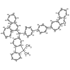 CC1(C)c2ccccc2-c2ccc(N(c3ccc(-c4ccc(-c5ccc6oc7ccccc7c6c5)cc4)cc3)c3cc4ccccc4c4ccccc34)cc21